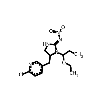 CCOC(CC)N1C(=N[N+](=O)[O-])NCC1Cc1ccc(Cl)nc1